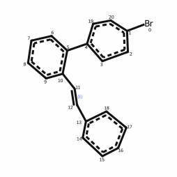 Brc1ccc(-c2ccccc2/C=C/c2ccccc2)cc1